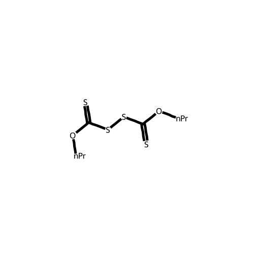 CCCOC(=S)SSC(=S)OCCC